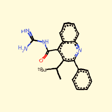 CCCCC(C)c1c(-c2ccccc2)nc2ccccc2c1C(=O)NC(=N)N